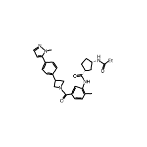 CCC(=O)N[C@H]1CC[C@@H](C(=O)Nc2cc(C(=O)N3CC(c4ccc(-c5ccnn5C)cc4)C3)ccc2C)C1